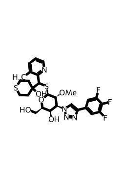 CO[C@@H]1[C@@H](n2cc(-c3cc(F)c(F)c(F)c3)nn2)[C@@H](O)[C@@H](CO)O[C@H]1SC(c1ncccc1C)C1(O)CCSCC1